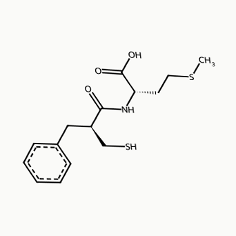 CSCC[C@H](NC(=O)[C@@H](CS)Cc1ccccc1)C(=O)O